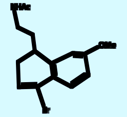 COc1ccc2c(c1)C(CCNC(C)=O)CC=C2Br